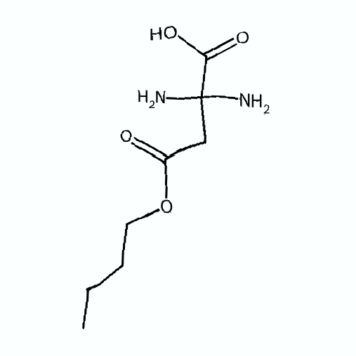 CCCCOC(=O)CC(N)(N)C(=O)O